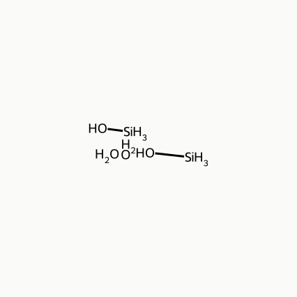 O.O.O[SiH3].O[SiH3]